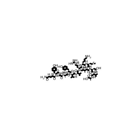 CC[C@H](C)[C@H](NC(=O)[C@H](CCSC)NC(=O)[C@H](CCCCN)NC(=O)[C@H](CCCNC(=N)N)NC(=O)[C@@H](NC(=O)[C@@H](NC(=O)[C@H](Cc1ccc(O)cc1)NC(=O)[C@H](C)NC(=O)[C@H](C)NC(=O)[C@H](Cc1ccc(O)cc1)NC(=O)[C@@H](N)CCC(N)=O)C(C)C)C(C)C)C(=O)N[C@@H](CC(=O)O)C(=O)N[C@H](C(=O)N[C@@H](C)C(=O)O)C(C)C